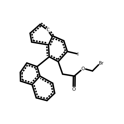 O=C(Cc1c(I)cc2ccccc2c1-c1cccc2ccccc12)OCBr